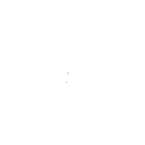 CN(C)C(c1cccc(O)c1)[C@@H]1CCCC[C@H]1O